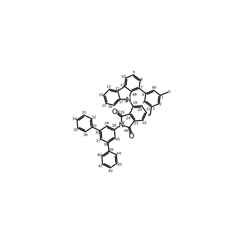 Cc1cc(C)cc(-c2cccc3c4ccccc4n(-c4cccc5c4C(=O)N(c4cc(-c6ccccc6)cc(-c6ccccc6)c4)C5=O)c23)c1